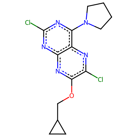 Clc1nc(N2CCCC2)c2nc(Cl)c(OCC3CC3)nc2n1